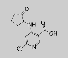 O=C(O)c1cnc(Cl)cc1NC1CCCC1=O